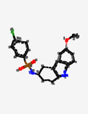 COc1ccc2[nH]c3c(c2c1)CC(NS(=O)(=O)c1ccc(F)cc1)CC3